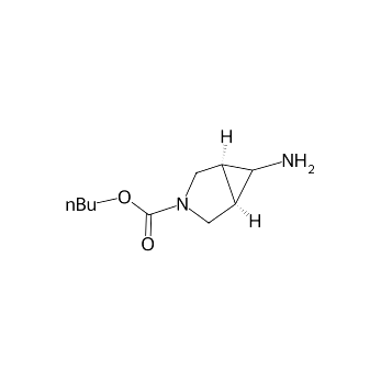 CCCCOC(=O)N1C[C@@H]2C(N)[C@@H]2C1